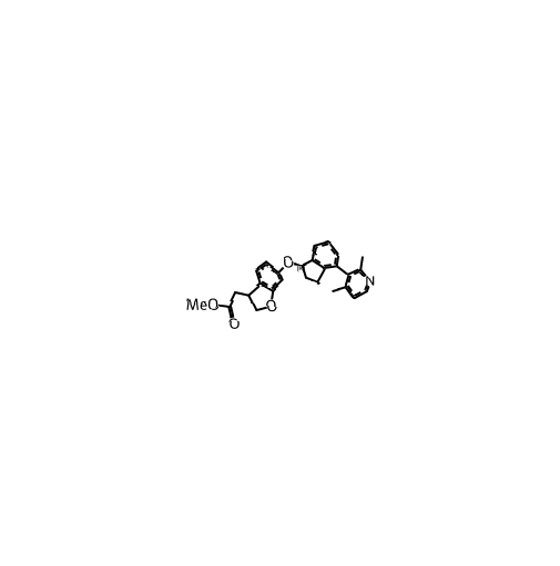 COC(=O)CC1COc2cc(O[C@@H]3CCc4c(-c5c(C)ccnc5C)cccc43)ccc21